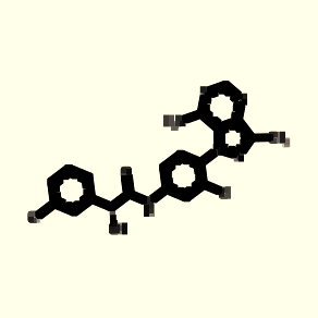 Cc1nn(-c2ccc(NC(=O)[C@H](O)c3cccc(Cl)c3)cc2Cl)c2c(N)ncnc12